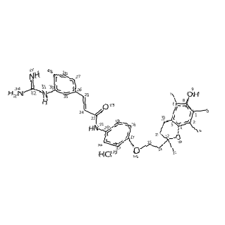 Cc1c(C)c2c(c(C)c1O)CCC(C)(CCOc1ccc(NC(=O)/C=C/c3cccc(NC(=N)N)c3)cc1)O2.Cl